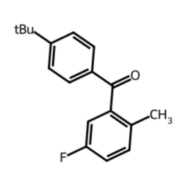 Cc1ccc(F)cc1C(=O)c1ccc(C(C)(C)C)cc1